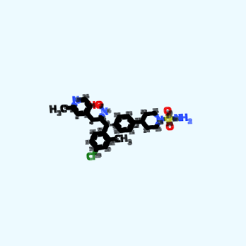 Cc1cc(C/C(=N\O)[C@H](c2ccc(C3CCN(S(N)(=O)=O)CC3)cc2)c2ccc(Cl)cc2C)ccn1